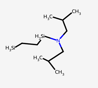 CC(C)CN(CC(C)C)[SiH2]CC[SiH3]